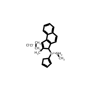 CC.C[SiH2][Zr+2]([C]1=CC=CC1)[CH]1C(C)=Cc2c1ccc1ccccc21.[Cl-].[Cl-]